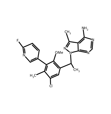 COc1c(C(C)n2nc(C)c3c(N)ncnc32)cc(Cl)c(C)c1-c1ccc(F)nc1